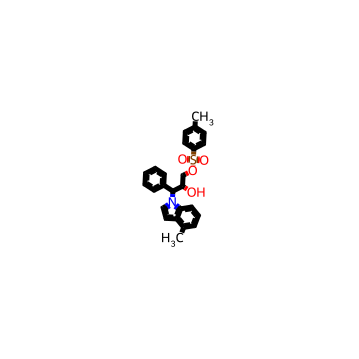 Cc1ccc(S(=O)(=O)OCC(O)C(c2ccccc2)n2ccc3c(C)cccc32)cc1